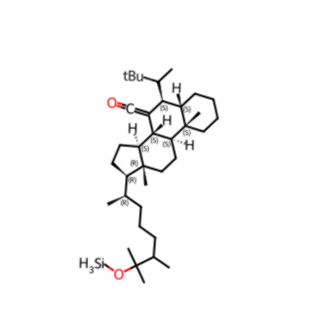 CC([C@@H]1C(=C=O)[C@@H]2[C@H](CC[C@]3(C)[C@@H]([C@H](C)CCCC(C)C(C)(C)O[SiH3])CC[C@@H]23)[C@@]2(C)CCCC[C@@H]12)C(C)(C)C